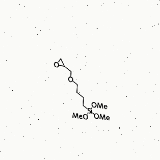 CO[Si](CCCCOCC1CO1)(OC)OC